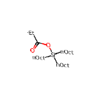 C[CH]C(=O)O[Si](CCCCCCCC)(CCCCCCCC)CCCCCCCC